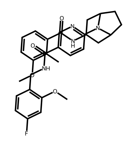 COc1cc(F)ccc1CNC(=O)c1ccc(N2C3CCC2CC(NC(=O)c2cccc(OC)c2C)C3)nc1